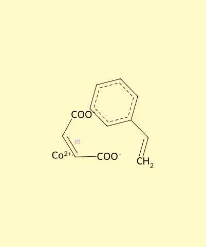 C=Cc1ccccc1.O=C([O-])/C=C\C(=O)[O-].[Co+2]